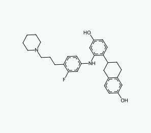 Oc1ccc2c(c1)CCC(c1ccc(O)cc1Nc1ccc(CCCN3CCCCC3)c(F)c1)C2